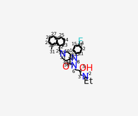 CCN(C)C[C@@H](O)CN1CN(c2ccc(F)cc2)C2(CCN(Cc3cccc4cccc(C)c34)CC2)C1=O